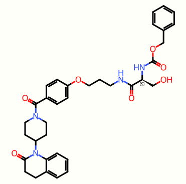 O=C(N[C@@H](CO)C(=O)NCCCOc1ccc(C(=O)N2CCC(N3C(=O)CCc4ccccc43)CC2)cc1)OCc1ccccc1